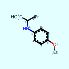 CCOc1ccc(NC(C(=O)O)C(C)C)cc1